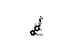 CC(=O)Nc1ccccc1C1CC(=O)C(=CNCCN(C)C)C(=O)C1